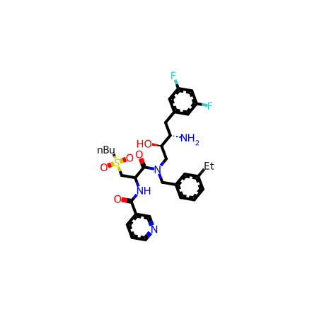 CCCCS(=O)(=O)CC(NC(=O)c1cccnc1)C(=O)N(Cc1cccc(CC)c1)C[C@@H](O)[C@@H](N)Cc1cc(F)cc(F)c1